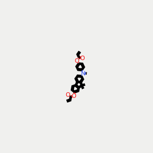 C=CC(=O)Oc1ccc(N(C)c2ccc3c(c2)C(C)(C)c2cc(OC(=O)C=C)ccc2-3)cc1